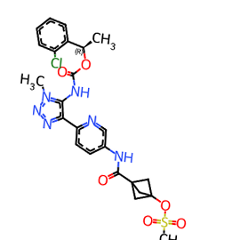 C[C@@H](OC(=O)Nc1c(-c2ccc(NC(=O)C34CC(OS(C)(=O)=O)(C3)C4)cn2)nnn1C)c1ccccc1Cl